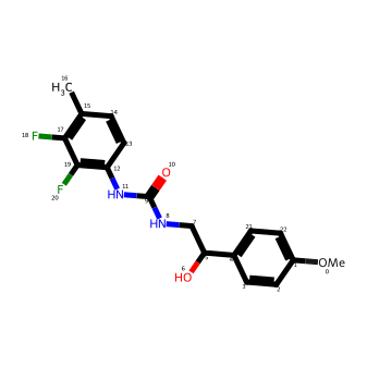 COc1ccc(C(O)CNC(=O)Nc2ccc(C)c(F)c2F)cc1